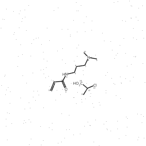 C=CC(=O)NCCCN(C)C.CC(Cl)C(=O)O